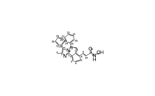 Cc1nc(-c2cccc(C=CC(=O)NO)c2)n([C@H](C)c2ccccc2)c1-c1ccccc1